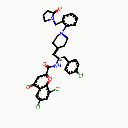 O=C(N[C@@H](C=C1CCN(c2ccccc2CN2CCCC2=O)CC1)Cc1ccc(Cl)cc1)c1cc(=O)c2cc(Cl)cc(Cl)c2o1